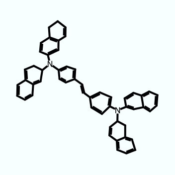 C1=Cc2cc(N(c3ccc(/C=C/c4ccc(N(c5ccc6ccccc6c5)C5C=Cc6ccccc6C5)cc4)cc3)C3C=c4ccccc4=CC3)ccc2CC1